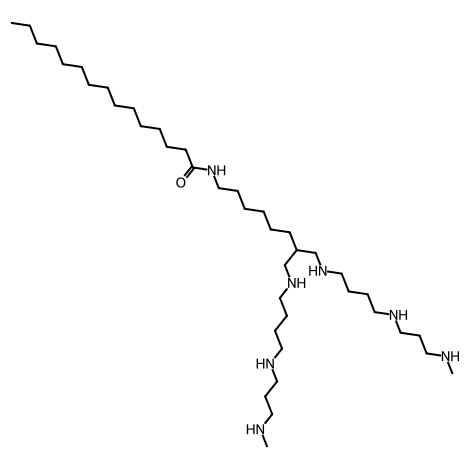 CCCCCCCCCCCCCCC(=O)NCCCCCCC(CNCCCCNCCCNC)CNCCCCNCCCNC